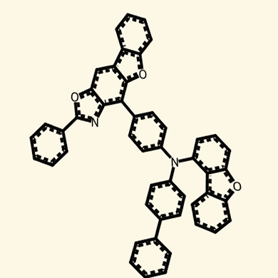 c1ccc(-c2ccc(N(c3ccc(-c4c5nc(-c6ccccc6)oc5cc5c4oc4ccccc45)cc3)c3cccc4oc5ccccc5c34)cc2)cc1